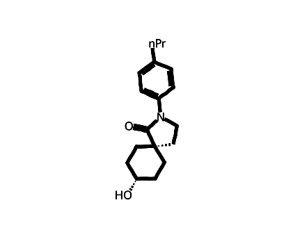 CCCc1ccc(N2CC[C@]3(CC[C@@H](O)CC3)C2=O)cc1